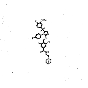 COc1cc(C(C)(C)c2cnc(SCc3c(F)cc(C(=O)NCC[N+]45CCN(CC4)CC5)cc3Cl)n2-c2ccc(F)cc2)ccc1F